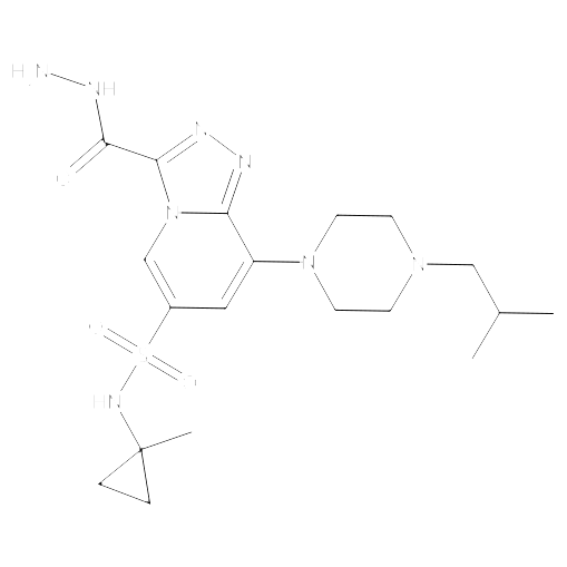 CC(C)CN1CCN(c2cc(S(=O)(=O)NC3(C)CC3)cn3c(C(=O)NN)nnc23)CC1